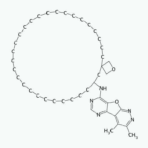 Cc1nnc2oc3c(NC4CCCCCCCCCCCCCCCCCCCCCCCCCCCCC5(COC5)C4)ncnc3c2c1C